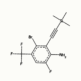 C[Si](C)(C)C#Cc1c(N)c(F)cc(C(F)(F)F)c1Br